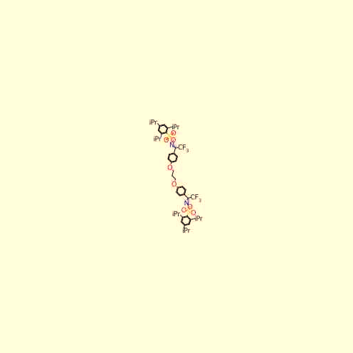 CC(C)c1cc(C(C)C)c(S(=O)(=O)O/N=C(/c2ccc(OCCCOc3ccc(/C(=N/OS(=O)(=O)c4c(C(C)C)cc(C(C)C)cc4C(C)C)C(F)(F)F)cc3)cc2)C(F)(F)F)c(C(C)C)c1